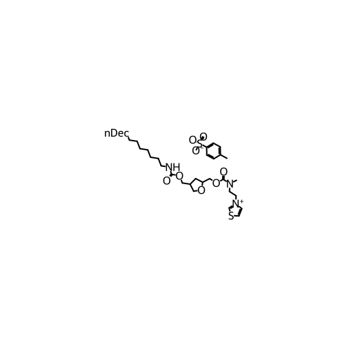 CCCCCCCCCCCCCCCCCNC(=O)OCC1COC(COC(=O)N(C)CC[n+]2ccsc2)C1.Cc1ccc(S(=O)(=O)[O-])cc1